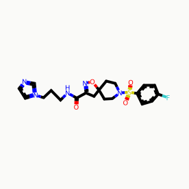 O=C(NCCCn1ccnc1)C1=NOC2(CCN(S(=O)(=O)c3ccc(F)cc3)CC2)C1